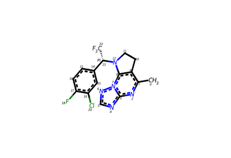 Cc1nc2ncnn2c2c1CCN2[C@H](c1ccc(F)c(Cl)c1)C(F)(F)F